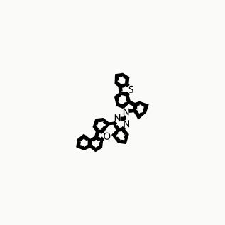 c1ccc2c(c1)ccc1oc3c(-c4nc(-n5c6ccccc6c6c7sc8ccccc8c7ccc65)nc5ccccc45)cccc3c12